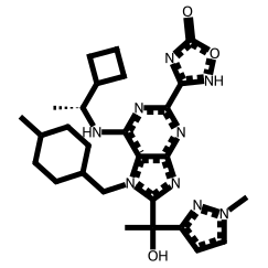 CC1CCC(Cn2c(C(C)(O)c3ccn(C)n3)nc3nc(-c4nc(=O)o[nH]4)nc(N[C@H](C)C4CCC4)c32)CC1